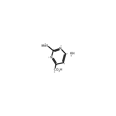 CSc1nccc(C(=O)O)n1.[KH]